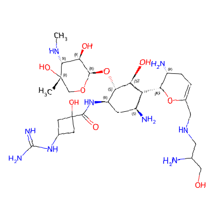 CN[C@@H]1[C@@H](O)[C@@H](O[C@H]2[C@H](NC(=O)C3(O)CC(NC(=N)N)C3)C[C@H](N)C([C@H]3OC(CNCC(N)CO)=CC[C@H]3N)[C@@H]2O)OC[C@]1(C)O